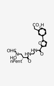 CCCCC[C@H](CN(O)C=O)C(=O)NCNC(=O)c1ccc(-c2cccc(CC(=O)O)c2)o1